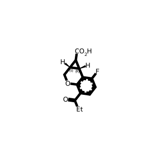 CCC(=O)c1ccc(F)c2c1OC[C@@H]1C(C(=O)O)[C@H]21